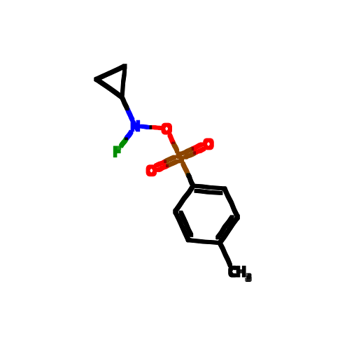 Cc1ccc(S(=O)(=O)ON(F)C2CC2)cc1